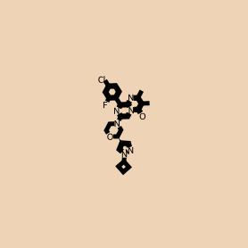 Cc1nc2c(-c3ccc(Cl)cc3F)nc(N3CCO[C@@H](c4cnn(C5CCC5)c4)C3)cn2c(=O)c1C